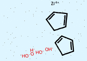 C1=CCC=C1.C1=CCC=C1.[OH-].[OH-].[OH-].[OH-].[Zr+4]